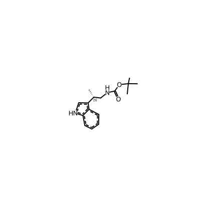 C[C@H](CNC(=O)OC(C)(C)C)c1c[nH]c2ccccc12